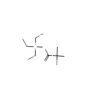 CC[Si](CC)(CC)OC(=O)C(C)(C)Cl